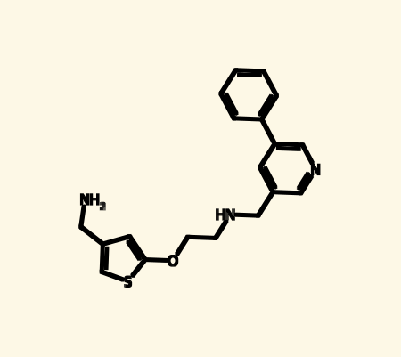 NCc1csc(OCCNCc2cncc(-c3ccccc3)c2)c1